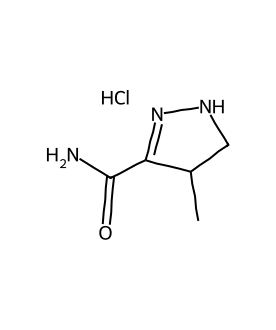 CC1CNN=C1C(N)=O.Cl